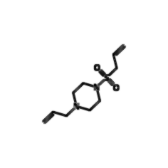 C=CCN1CCN(S(=O)(=O)CC=C)CC1